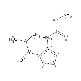 CC(C)C(=O)c1cccn1NC(=O)CN